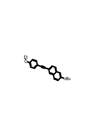 CCCCc1ccc2cc(C#Cc3ccc(OCC)cc3)ccc2c1